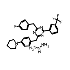 Fc1ccc(Cc2nc(Cc3ccc(N4CCCCC4)cc3)nc(-c3cccc(C(F)(F)F)c3)n2)cc1.NNN